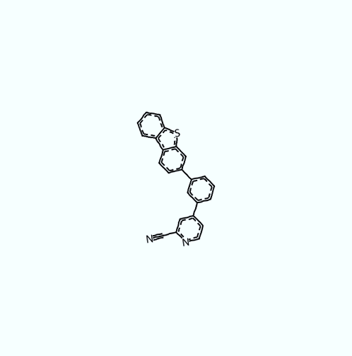 N#Cc1cc(-c2cccc(-c3ccc4c(c3)sc3ccccc34)c2)ccn1